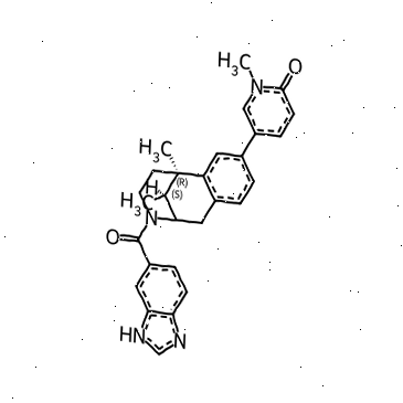 C[C@@H]1C2Cc3ccc(-c4ccc(=O)n(C)c4)cc3[C@]1(C)CCN2C(=O)c1ccc2nc[nH]c2c1